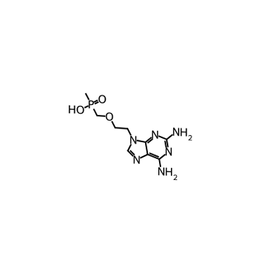 CP(=O)(O)COCCn1cnc2c(N)nc(N)nc21